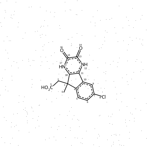 CC1(CC(=O)O)c2ccc(Cl)cc2-c2[nH]c(=O)c(=O)[nH]c21